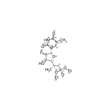 CCOP(=O)(C[C@H](C)[C@H]1O[C@@H](n2cc(C)c(=O)[nH]c2=O)[C@H](F)[C@@H]1O)OCC